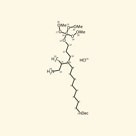 CCCCCCCCCCCCCCCCCCN(CCCO[Si](OOC)(OOC)OOC)C(C)CN.Cl